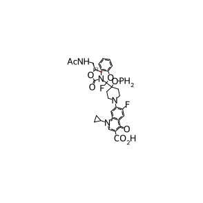 CC(=O)NC[C@H]1CN(C(F)(Oc2ccccc2)C2(OP)CCN(c3cc4c(cc3F)c(=O)c(C(=O)O)cn4C3CC3)CC2)C(=O)O1